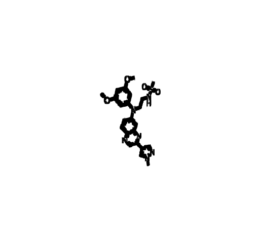 COc1cc(OC)cc(N(CCNS(C)(=O)=O)c2ccc3ncc(-c4cnn(C)c4)nc3c2)c1